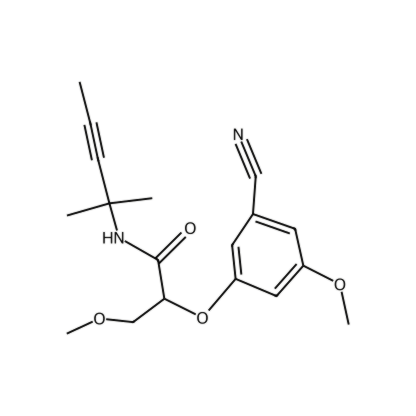 CC#CC(C)(C)NC(=O)C(COC)Oc1cc(C#N)cc(OC)c1